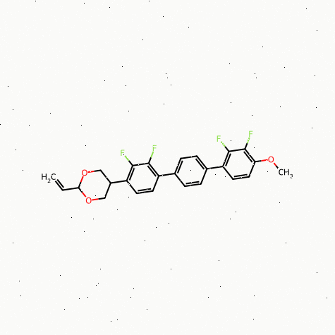 C=CC1OCC(c2ccc(-c3ccc(-c4ccc(OC)c(F)c4F)cc3)c(F)c2F)CO1